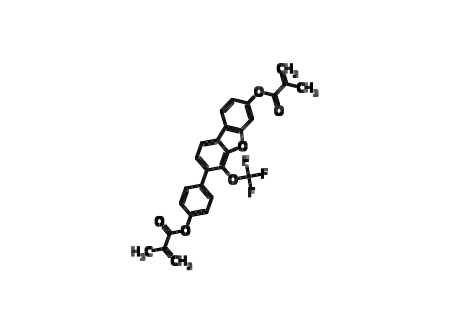 C=C(C)C(=O)Oc1ccc(-c2ccc3c(oc4cc(OC(=O)C(=C)C)ccc43)c2OC(F)(F)F)cc1